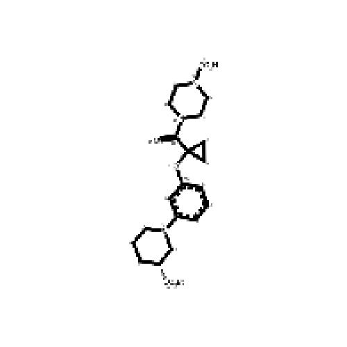 CCOC(=O)[C@@H]1CCCN(c2cccc(OC3(C(=O)N4CCN(C(=O)O)CC4)CC3)c2)C1